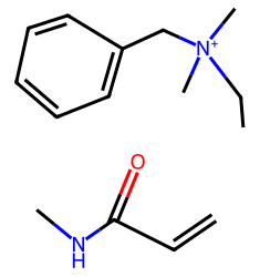 C=CC(=O)NC.CC[N+](C)(C)Cc1ccccc1